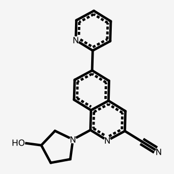 N#Cc1cc2cc(-c3ccccn3)ccc2c(N2CCC(O)C2)n1